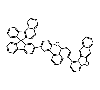 c1ccc2c(c1)-c1ccc(-c3ccc4c(c3)-c3cccc5c(-c6cccc7oc8cc9ccccc9cc8c67)ccc(c35)O4)cc1C21c2ccccc2-c2c1ccc1ccccc21